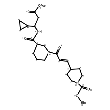 COC(=O)CC(NC(=O)[C@@H]1CCCN(C(=O)/C=C/C2CCN(C(=O)OC(C)(C)C)CC2)C1)C1CC1